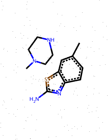 CN1CCNCC1.Cc1ccc2nc(N)sc2c1